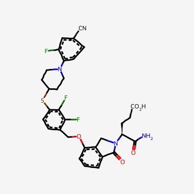 N#Cc1ccc(N2CCC(Sc3ccc(COc4cccc5c4CN([C@@H](CCC(=O)O)C(N)=O)C5=O)c(F)c3F)CC2)c(F)c1